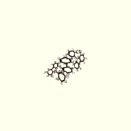 N#Cc1ccccc1-n1c2ccccc2c2cccc(-c3ccccc3-c3ccccc3-c3cccc4c5ccccc5n(-c5ccccc5)c34)c21